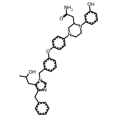 CC(O)Cc1c(Cc2ccccc2)ncn1Cc1cccc(Oc2ccc(N3CCN(c4cccc(O)c4)C(CC(N)=O)C3)cc2)c1